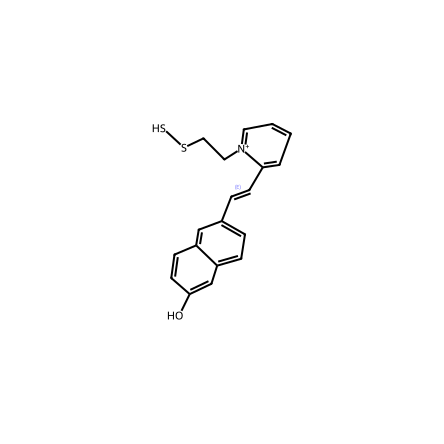 Oc1ccc2cc(/C=C/c3cccc[n+]3CCSS)ccc2c1